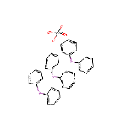 O=[As]([O-])([O-])[O-].c1ccc([I+]c2ccccc2)cc1.c1ccc([I+]c2ccccc2)cc1.c1ccc([I+]c2ccccc2)cc1